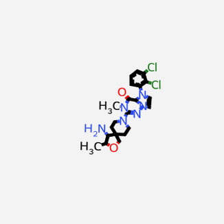 CC1OCC2(CCN(C3=NN4C=CN(c5cccc(Cl)c5Cl)C4C(=O)N3C)CC2)C1N